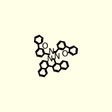 c1ccc2c(-c3ccc4ccccc4c3-c3nc(-c4cccc5c4oc4ccccc45)nc(-c4cccc5c4oc4ccccc45)n3)cccc2c1